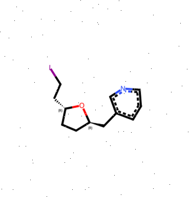 ICC[C@H]1CC[C@H](Cc2cccnc2)O1